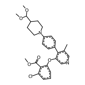 COC(=O)c1c(Cl)cccc1Oc1cncc(C)c1-c1ccc(N2CCC(C(OC)OC)CC2)cc1